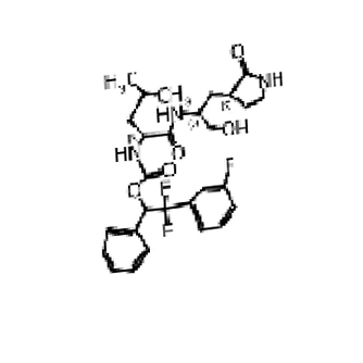 CC(C)C[C@H](NC(=O)OC(c1ccccc1)C(F)(F)c1cccc(F)c1)C(=O)N[C@H](CO)C[C@@H]1CCNC1=O